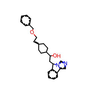 OC(CC1c2ccccc2-c2cncn21)C1CCC(=CCOCc2ccccc2)CC1